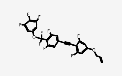 C=CCOc1cc(F)c(C#Cc2cc(F)c(C(F)(F)Oc3cc(F)c(F)c(F)c3)c(F)c2)c(F)c1